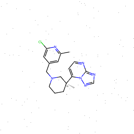 Cc1cc(CN2CCC[C@](C)(c3ccnc4ncnn34)C2)cc(Cl)n1